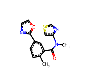 Cc1ccc(-c2ncco2)cc1C(=O)N(C)c1cscn1